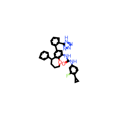 O=C(Nc1ccc(C2CC2)c(F)c1)Nc1cc(-c2ccccc2-c2nnn[nH]2)cc2c1OCCCC2c1ccccc1